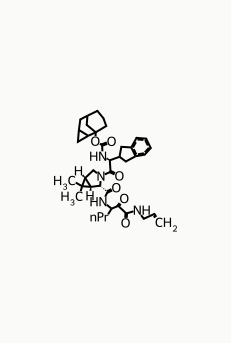 C=CCNC(=O)C(=O)C(CCC)NC(=O)[C@@H]1[C@H]2[C@@H](CN1C(=O)[C@@H](NC(=O)OC13CCCC(CC4CC41)C3)C1Cc3ccccc3C1)C2(C)C